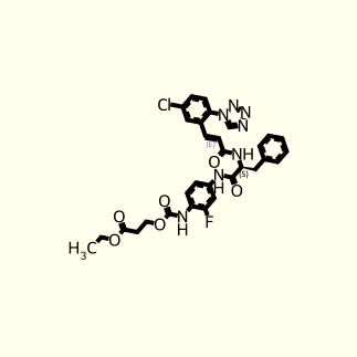 CCOC(=O)CCOC(=O)Nc1ccc(NC(=O)[C@H](Cc2ccccc2)NC(=O)/C=C/c2cc(Cl)ccc2-n2cnnn2)cc1F